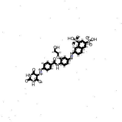 O=C1NC(=O)C(/N=N/c2ccc(C(=O)Nc3ccc(/N=N/c4ccc5cc(S(=O)(=O)O)cc(S(=O)(=O)O)c5c4)cc3OCCO)cc2)C(=O)N1